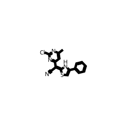 Cc1cc(C(C#N)=C2NC(c3ccccc3)=CS2)nc(Cl)n1